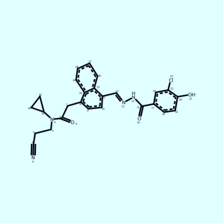 N#CCCN(C(=O)Cc1ccc(/C=N/NC(=O)c2ccc(O)c(Cl)c2)c2ccccc12)C1CC1